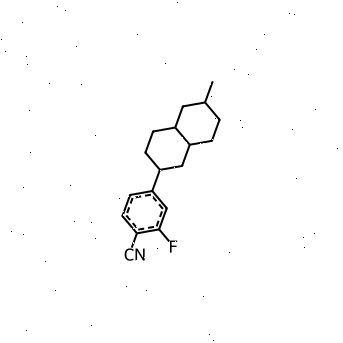 CC1CCC2CC(c3ccc(C#N)c(F)c3)CCC2C1